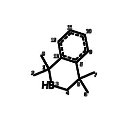 CC1(C)BCC(C)(C)c2ccccc21